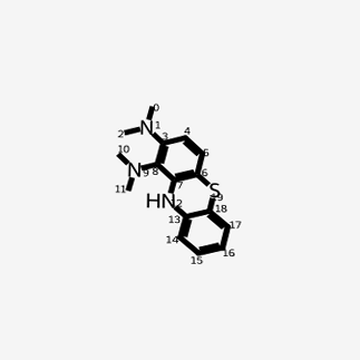 CN(C)c1ccc2c(c1N(C)C)Nc1ccccc1S2